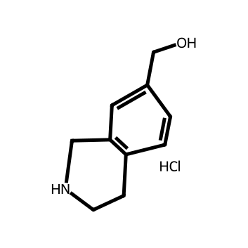 Cl.OCc1ccc2c(c1)CNCC2